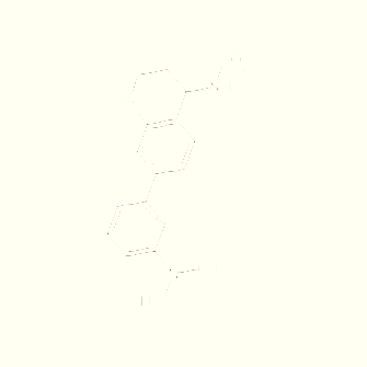 CN(C)c1cccc(-c2ccc3c(c2)OCCC3NC(=O)O)c1